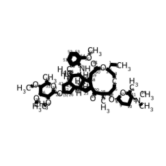 CC[C@H]1CCC[C@H](O[C@H]2CC[C@H](N(C)C)C(C)O2)[C@@H](C)C(=O)C2=C[C@H]3[C@@H]4C[C@H](O[C@@H]5OC(C)[C@H](OC)C(OC)C5OC)C[C@H]4[C@@H](O)[C@H](Nc4c(C)cccc4OC)[C@H]3[C@@H]2CC(=O)O1